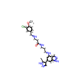 Cc1[nH]ncc1-c1cc(NCCCNC(=O)CCNCc2ccc(OC(F)(F)F)c(Cl)c2)c2cn[nH]c2c1